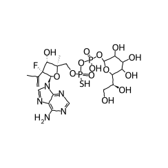 C=C(C)[C@]1(F)[C@H](n2cnc3c(N)ncnc32)O[C@](C)(COP(=O)(S)OP(=O)(O)OC2OC([C@@H](O)CO)C(O)C(O)C2O)[C@H]1O